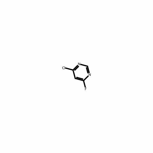 Fc1cc(Cl)ncn1